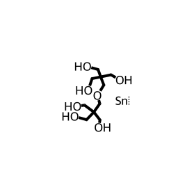 OCC(CO)(CO)COCC(CO)(CO)CO.[Sn]